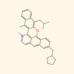 Cc1c2c(c(CC(C)C)c3ccccc13)Oc1c3ccc(CC4CCCC4)cc3cc3cc[n+](C)c-2c13